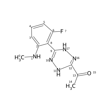 CNc1cccc(F)c1C1=NNC(C(C)=O)=NN1